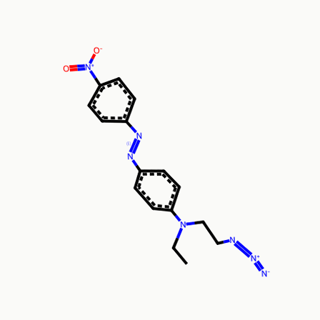 CCN(CCN=[N+]=[N-])c1ccc(/N=N/c2ccc([N+](=O)[O-])cc2)cc1